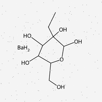 CCC1(O)C(O)OC(CO)C(O)C1O.[BaH2]